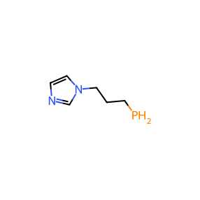 PCCCn1ccnc1